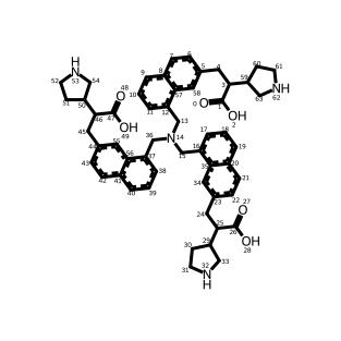 O=C(O)C(Cc1ccc2cccc(CN(Cc3cccc4ccc(CC(C(=O)O)C5CCNC5)cc34)Cc3cccc4ccc(CC(C(=O)O)C5CCNC5)cc34)c2c1)C1CCNC1